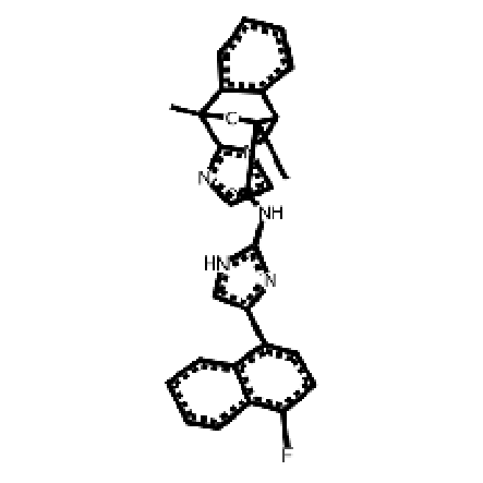 CC12CC(C)(C(=O)Nc3nc(-c4ccc(F)c5ccccc45)c[nH]3)C(c3ccccc31)n1ccnc12